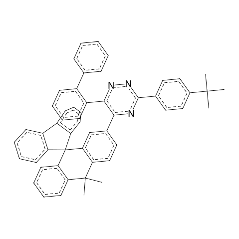 CC(C)(C)c1ccc(-c2nnc(-c3ccccc3-c3ccccc3)c(-c3ccc4c(c3)C3(c5ccccc5-c5ccccc53)c3ccccc3C4(C)C)n2)cc1